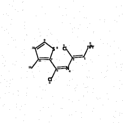 CCC/C=C(Cl)/N=C(/Cl)c1sccc1C